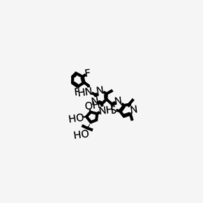 Cc1cc2sc(-c3c(C)nc(NCc4c(F)cccc4F)nc3NC3C[C@H](C(C)(C)O)[C@@H](O)[C@H]3O)nc2c(C)n1